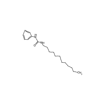 CCCCCCCCCCCCNC(=O)Nc1cc[c]cc1